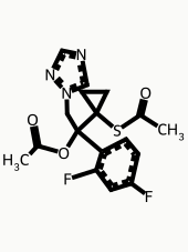 CC(=O)OC(Cn1cncn1)(c1ccc(F)cc1F)C1(SC(C)=O)CC1